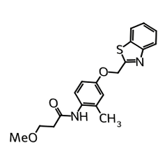 COCCC(=O)Nc1ccc(OCc2nc3ccccc3s2)cc1C